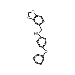 c1ccc(Oc2ccc(NCc3ccc4c(c3)OCO4)cc2)cc1